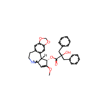 COC1=C[C@]23CCCN2CCc2cc4c(cc2[C@@H]3[C@@H]1OC(=O)C(O)(Cc1ccccc1)Cc1ccccc1)OCO4